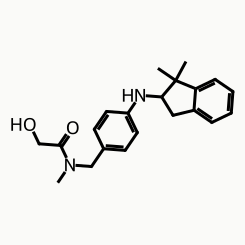 CN(Cc1ccc(NC2Cc3ccccc3C2(C)C)cc1)C(=O)CO